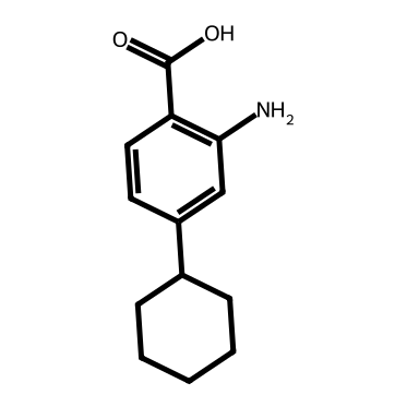 Nc1cc(C2CCCCC2)ccc1C(=O)O